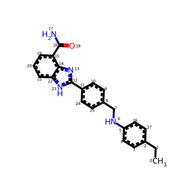 CCc1ccc(NCc2ccc(-c3nc4c(C(N)=O)cccc4[nH]3)cc2)cc1